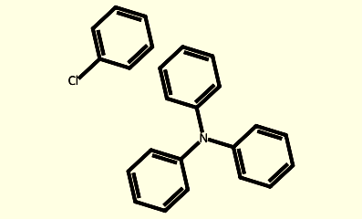 Clc1ccccc1.c1ccc(N(c2ccccc2)c2ccccc2)cc1